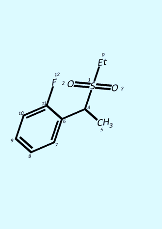 CCS(=O)(=O)C(C)c1ccccc1F